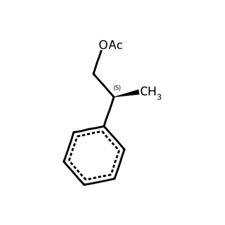 CC(=O)OC[C@@H](C)c1ccccc1